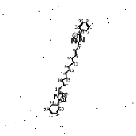 c1ccc(-c2nc(CCCCCCCCCCCCc3noc(-c4ccccc4)n3)no2)cc1